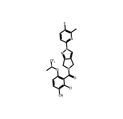 Cc1nc(-n2cc3c(n2)CN(C(=O)c2c(O[C@@H](C)C(F)(F)F)ccc(C#N)c2Cl)C3)ccc1F